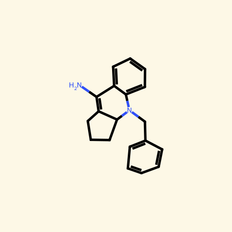 NC1=C2CCCC2N(Cc2ccccc2)c2ccccc21